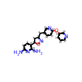 Nc1ccc(C2CC(Cc3ccc(Oc4cccnc4)nc3)=NO2)c(N)n1